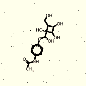 CC(=O)Nc1ccc(OC(O)C2(O)C(O)C(O)C2CO)cc1